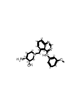 COc1cccc(Nc2ncnc3cccc(CN4CC[C@H](N)[C@H](O)C4)c23)c1